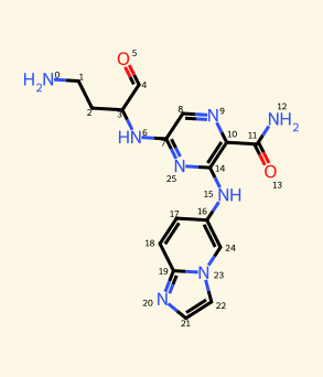 NCCC(C=O)Nc1cnc(C(N)=O)c(Nc2ccc3nccn3c2)n1